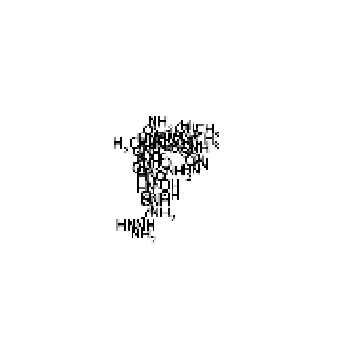 CC[C@H](C)[C@H](NC(=O)[C@H](CO)NC(=O)[C@H](Cc1ccccc1)NC(=O)[C@H](CC(N)=O)NC(=O)[C@@H](NC(=O)[C@H](CO)NC(=O)[C@H](CCC(N)=O)NC(=O)[C@H](CO)NC(=O)[C@H](CO)NC(=O)[C@@H](N)CCCNC(=N)N)[C@@H](C)CC)C(=O)N[C@@H](Cc1c[nH]cn1)C(=O)O